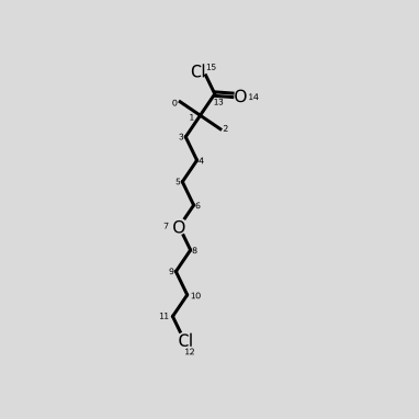 CC(C)(CCCCOCCCCCl)C(=O)Cl